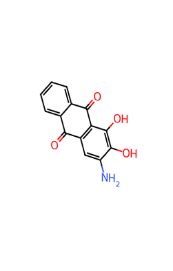 Nc1cc2c(c(O)c1O)C(=O)c1ccccc1C2=O